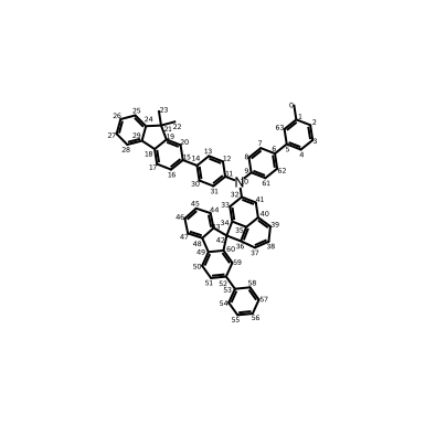 Cc1cccc(-c2ccc(N(c3ccc(-c4ccc5c(c4)C(C)(C)c4ccccc4-5)cc3)c3cc4c5c(cccc5c3)C43c4ccccc4-c4ccc(-c5ccccc5)cc43)cc2)c1